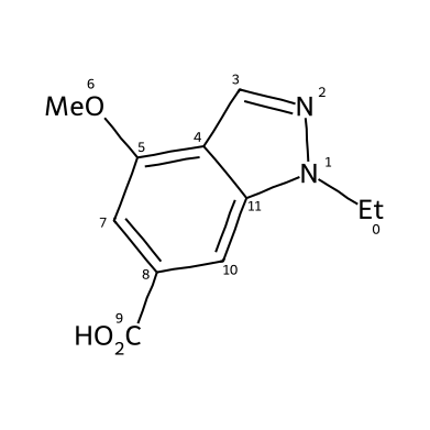 CCn1ncc2c(OC)cc(C(=O)O)cc21